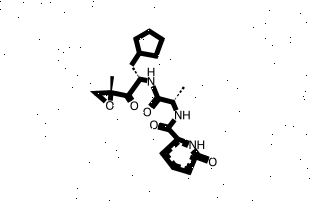 C[C@H](NC(=O)c1cccc(=O)[nH]1)C(=O)N[C@@H](CC1CCCC1)C(=O)[C@@]1(C)CO1